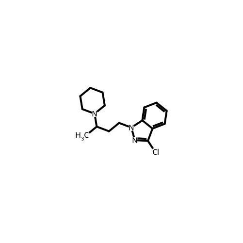 CC(CCn1nc(Cl)c2ccccc21)N1CCCCC1